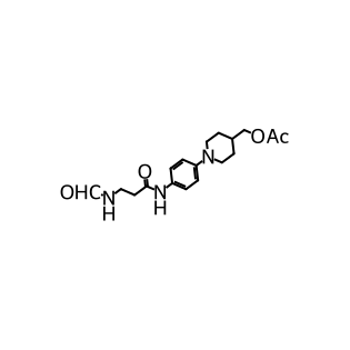 CC(=O)OCC1CCN(c2ccc(NC(=O)CCNC=O)cc2)CC1